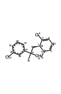 CN1C=NC=C(Cl)[C@@H]1CC(C)(O)c1cccc(Cl)c1